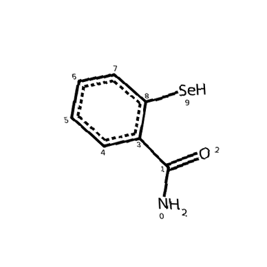 NC(=O)c1ccccc1[SeH]